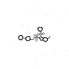 O=S(=O)(NCc1ccc(-c2ccccc2)cc1)c1cc2ccc(F)cc2n1S(=O)(=O)c1ccccc1